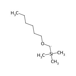 CCCCCCO[CH][Si](C)(C)C